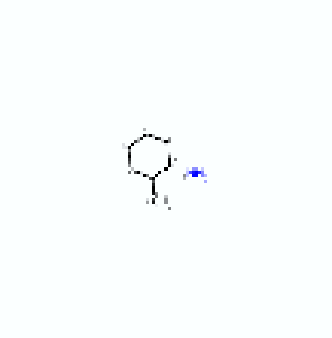 C[C@H]1CCCC[C@@H]1N